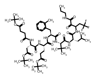 CCCNC(=O)C(=O)C(CC(F)(F)F)NC(=O)[C@H](CC(C)C)NC(=O)[C@@H](NC(=O)[C@H](Cc1ccccc1C)NC(=O)[C@H](CCC(=O)OC(C)(C)C)NC(=O)[C@H](CC(=O)OC(C)(C)C)NC(=O)CCC(=O)OC(C)(C)C)C(C)(C)C